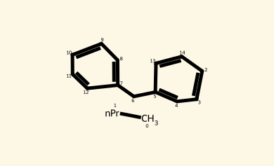 CCCC.c1ccc(Cc2ccccc2)cc1